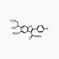 CNC(=O)c1c(-c2ccc(F)cc2)oc2cc(C(O)CN)c(OC)cc12